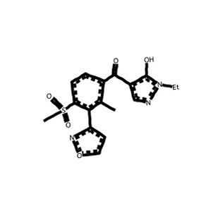 CCn1ncc(C(=O)c2ccc(S(C)(=O)=O)c(-c3ccon3)c2C)c1O